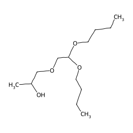 CCCCOC(COCC(C)O)OCCCC